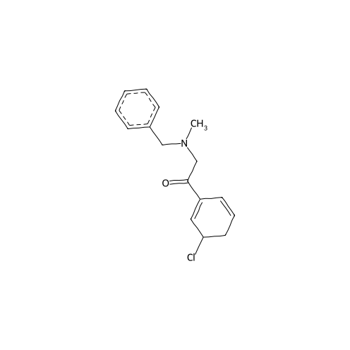 CN(CC(=O)C1=CC(Cl)CC=C1)Cc1ccccc1